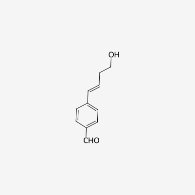 O=Cc1ccc(C=CCCO)cc1